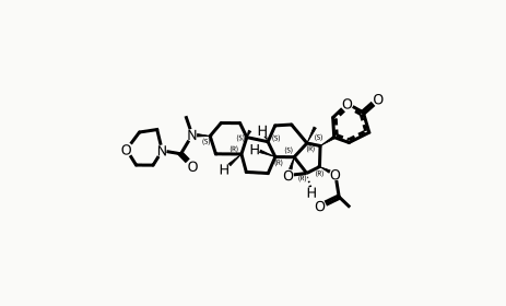 CC(=O)O[C@H]1[C@H]2O[C@]23[C@@H]2CC[C@@H]4C[C@@H](N(C)C(=O)N5CCOCC5)CC[C@]4(C)[C@H]2CC[C@]3(C)[C@H]1c1ccc(=O)oc1